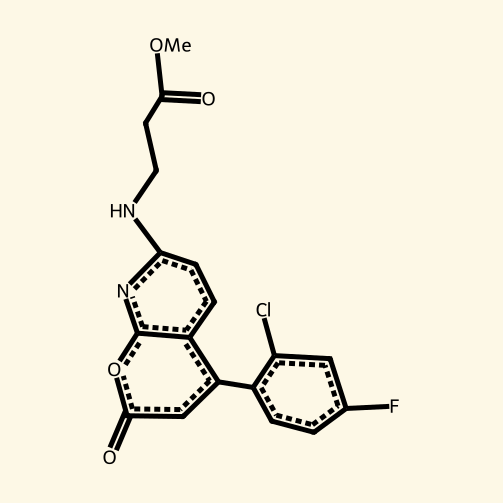 COC(=O)CCNc1ccc2c(-c3ccc(F)cc3Cl)cc(=O)oc2n1